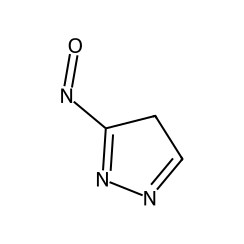 O=NC1=NN=CC1